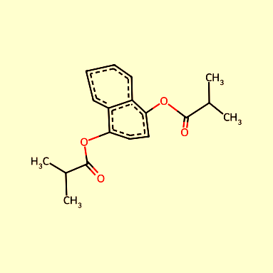 CC(C)C(=O)Oc1ccc(OC(=O)C(C)C)c2ccccc12